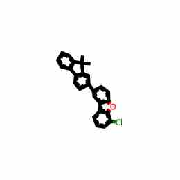 CC1(C)c2ccccc2-c2ccc(-c3ccc4oc5c(Cl)cccc5c4c3)cc21